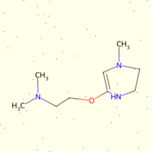 CN(C)CCOC1=CN(C)CCN1